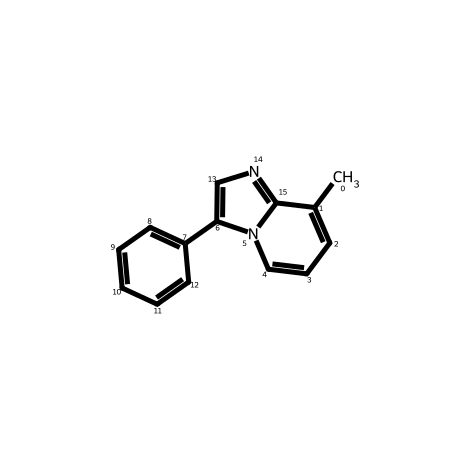 Cc1cccn2c(-c3ccccc3)cnc12